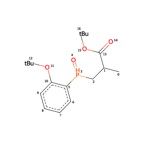 CC(C[PH](=O)c1ccccc1OC(C)(C)C)C(=O)OC(C)(C)C